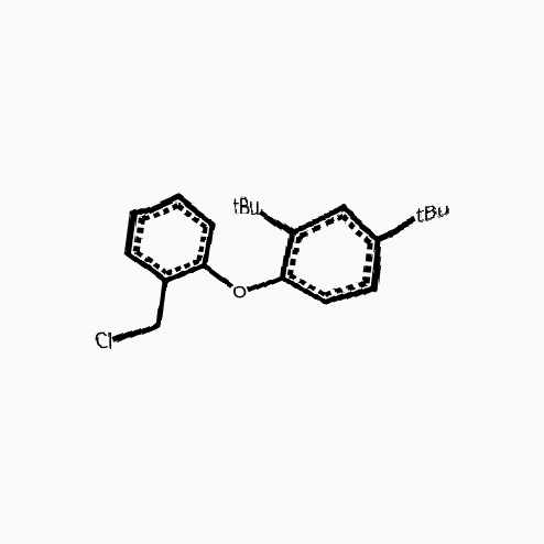 CC(C)(C)c1ccc(Oc2ccccc2CCl)c(C(C)(C)C)c1